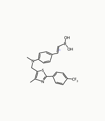 Cc1nc(-c2ccc(C(F)(F)F)cc2)sc1CN(C)c1ccc(/C=C/B(O)O)cc1